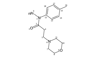 CCCN(C(=O)CCN1CCOCC1)c1ccc(C)cc1